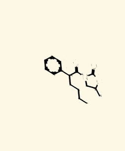 CCCCC(C(=O)N1CC(C)OC1=O)c1ccccc1